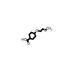 COCCOC1CCC(C(=O)O)CC1